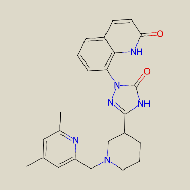 Cc1cc(C)nc(CN2CCCC(c3nn(-c4cccc5ccc(=O)[nH]c45)c(=O)[nH]3)C2)c1